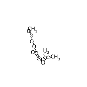 COCCOCCOCCOCCC(=O)OCN1CCN(c2ccccc2Sc2ccc(C)cc2C)CC1